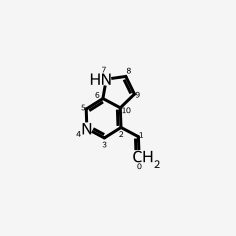 C=Cc1cncc2[nH]ccc12